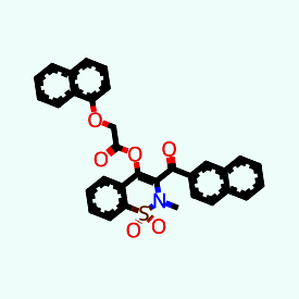 CN1C(C(=O)c2ccc3ccccc3c2)=C(OC(=O)COc2cccc3ccccc23)c2ccccc2S1(=O)=O